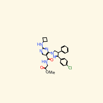 COC(=O)CNC(=O)c1cnc(NC2CCC2)nc1N1CC(c2ccccc2)C(c2ccc(Cl)cc2)=N1